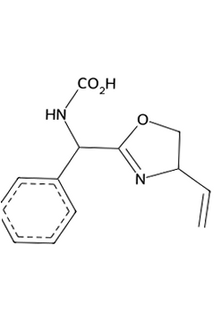 C=CC1COC(C(NC(=O)O)c2ccccc2)=N1